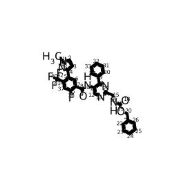 Cn1ccc(-c2cc(C(=O)Nc3cnc(CNC(=O)OCc4ccccc4)nc3-c3ccccc3)c(F)cc2C(F)(F)F)n1